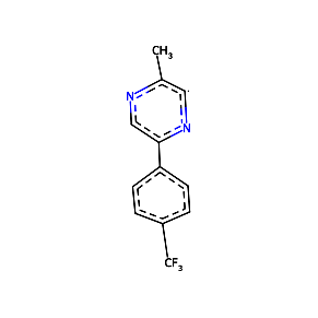 Cc1[c]nc(-c2ccc(C(F)(F)F)cc2)cn1